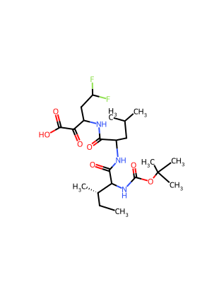 CC[C@H](C)C(NC(=O)OC(C)(C)C)C(=O)NC(CC(C)C)C(=O)NC(CC(F)F)C(=O)C(=O)O